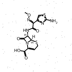 CON=C(C(=O)N[C@@H]1C(=O)N2C(C(=O)O)=CCS[C@H]12)c1csc(N)n1